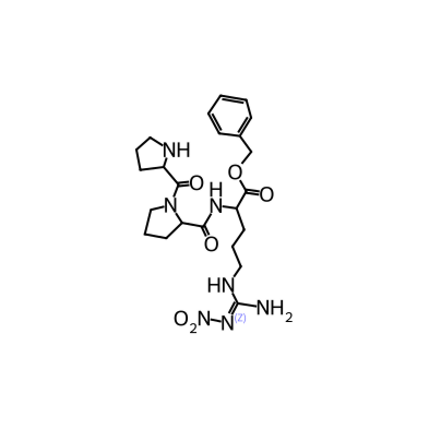 N/C(=N/[N+](=O)[O-])NCCCC(NC(=O)C1CCCN1C(=O)C1CCCN1)C(=O)OCc1ccccc1